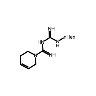 CCCCCCNC(=N)NC(=N)N1CC=CCC1